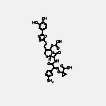 Nc1nc(C(=NOC2(C(=O)O)CC2)C(=O)N[C@@H]2C(=O)N3C(OC(=O)O)=C(CSc4nnc(-c5ccc(O)c(O)c5)o4)CS[C@@H]23)cs1